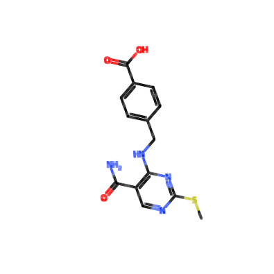 CSc1ncc(C(N)=O)c(NCc2ccc(C(=O)O)cc2)n1